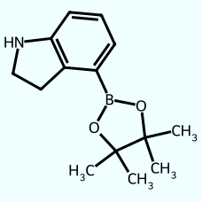 CC1(C)OB(c2cccc3c2CCN3)OC1(C)C